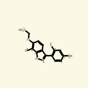 O=C(O)COc1ccc2c(-c3ccc(O)cc3F)noc2c1Cl